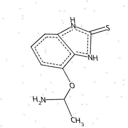 CC(N)Oc1cccc2[nH]c(=S)[nH]c12